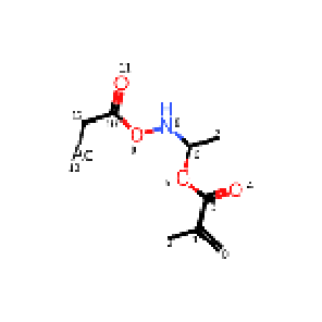 C=C(C)C(=O)OC(C)NOC(=O)CC(C)=O